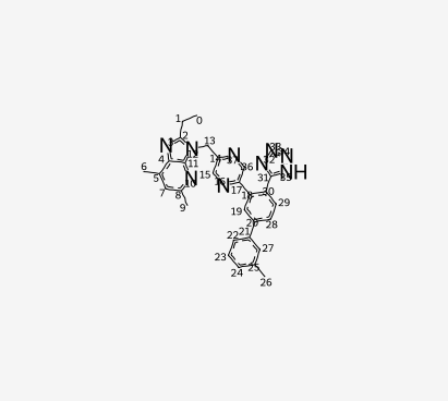 CCc1nc2c(C)cc(C)nc2n1Cc1cnc(-c2cc(-c3cccc(C)c3)ccc2-c2nnn[nH]2)cn1